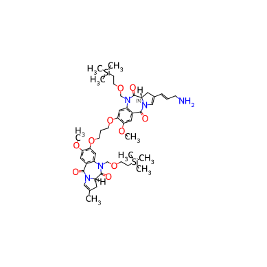 COc1cc2c(cc1OCCCOc1cc3c(cc1OC)C(=O)N1C=C(C=CCN)C[C@H]1C(=O)N3COCC[Si](C)(C)C)N(COCC[Si](C)(C)C)C(=O)[C@@H]1CC(C)=CN1C2=O